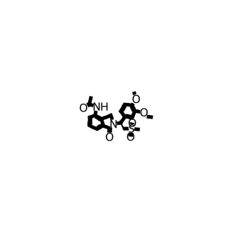 CCOc1cc([C@@H](CS(C)(=O)=O)N2Cc3c(NC(C)=O)cccc3C2=O)ccc1OC